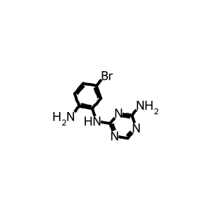 Nc1ncnc(Nc2cc(Br)ccc2N)n1